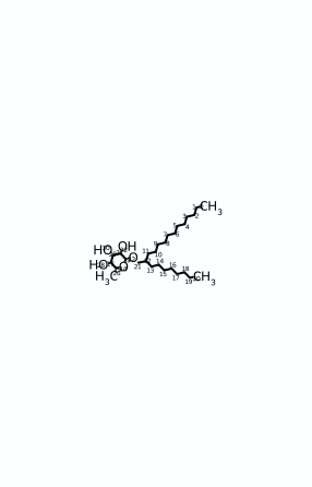 CCCCCCCCCCCCC(CCCCCCCC)CO[C@H]1O[C@H](C)[C@@H](O)[C@H](O)[C@@H]1O